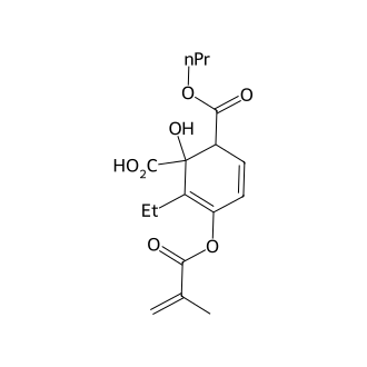 C=C(C)C(=O)OC1=C(CC)C(O)(C(=O)O)C(C(=O)OCCC)C=C1